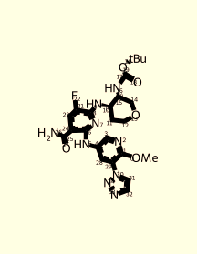 COc1ncc(Nc2nc(N[C@@H]3CCOC[C@@H]3NC(=O)OC(C)(C)C)c(F)cc2C(N)=O)cc1-n1ccnn1